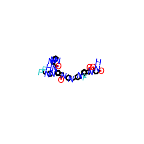 O=C1CCC(N2Cc3c(ccc(N4CCC(CN5CCC(N6Cc7cc(NC(=O)c8cnn9cccnc89)c(N8CCN(CC(F)F)CC8)cc7C6=O)CC5)CC4)c3F)C2=O)C(=O)N1